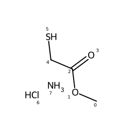 COC(=O)CS.Cl.N